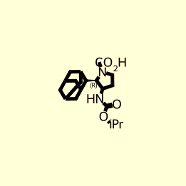 CC(C)OC(=O)NC1CCN(C(=O)O)[C@@H]1C1C2CC3CC(C2)CC1C3